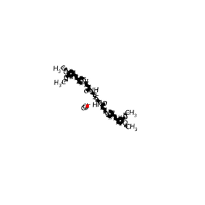 CCOc1ccc(C=Cc2cc[n+](CCCC(=O)NCCSSCCNC(=O)CCC[n+]3ccc(C=Cc4ccc(OCC)c(OCC)c4)cc3)cc2)cc1OCC.[Cl-].[Cl-]